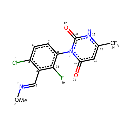 CO/N=C/c1c(Cl)ccc(-n2c(=O)cc(C(F)(F)F)[nH]c2=O)c1F